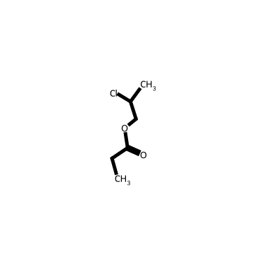 CCC(=O)OCC(C)Cl